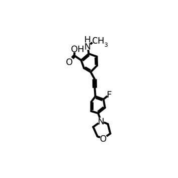 CNc1ccc(C#Cc2ccc(N3CCOCC3)cc2F)cc1C(=O)O